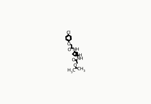 CC(C)OCC(=O)N[C@H]1CC2(NC(=O)COc3ccc(Cl)cc3)CC1C2